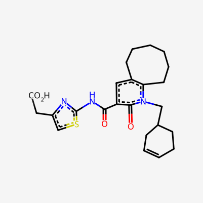 O=C(O)Cc1csc(NC(=O)c2cc3c(n(CC4CC=CCC4)c2=O)CCCCCC3)n1